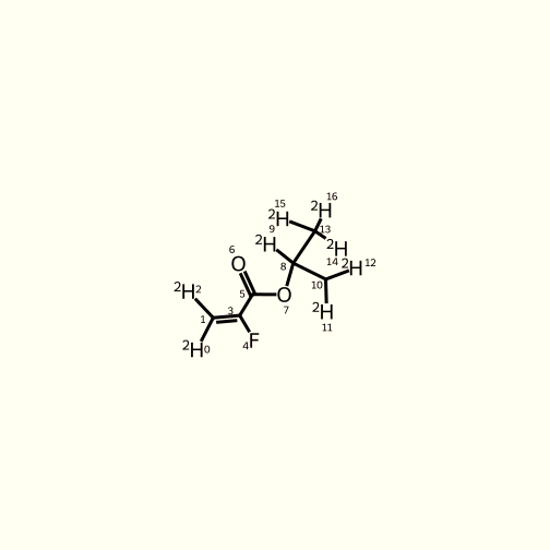 [2H]C([2H])=C(F)C(=O)OC([2H])(C([2H])[2H])C([2H])([2H])[2H]